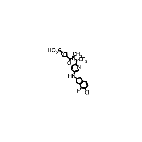 CN(C(=O)C1CN(C(=O)O)C1)[C@@H](c1ccc(NC2Cc3ccc(Cl)c(F)c3C2)cn1)C(F)(F)F